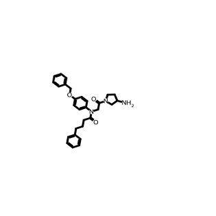 NC1CCN(C(=O)CN(C(=O)CCCc2ccccc2)c2ccc(OCc3ccccc3)cc2)C1